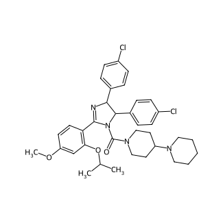 COc1ccc(C2=NC(c3ccc(Cl)cc3)C(c3ccc(Cl)cc3)N2C(=O)N2CCC(N3CCCCC3)CC2)c(OC(C)C)c1